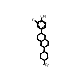 CCCC1CCC(C2CCC3CC(c4ccc(C#N)c(F)c4)CCC3C2)CC1